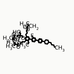 C=C(C)C(=O)OCCCc1cc(-c2ccc(-c3ccc(C4CCC(CCCCC)CC4)cc3)cc2F)c(CC)c(CCCOC(=O)C(=C)C)c1OCC(CO)(CO)COC(=O)C(=C)C